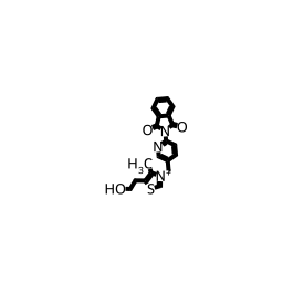 Cc1c(CCO)sc[n+]1Cc1ccc(N2C(=O)c3ccccc3C2=O)nc1